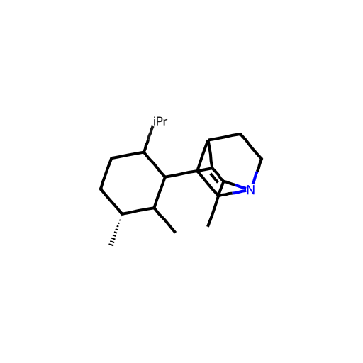 CC1=C(C2C(C(C)C)CC[C@@H](C)C2C)C2CCN1CC2